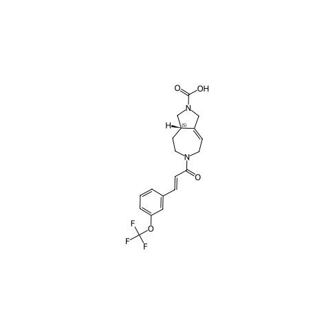 O=C(O)N1CC2=CCN(C(=O)C=Cc3cccc(OC(F)(F)F)c3)CC[C@@H]2C1